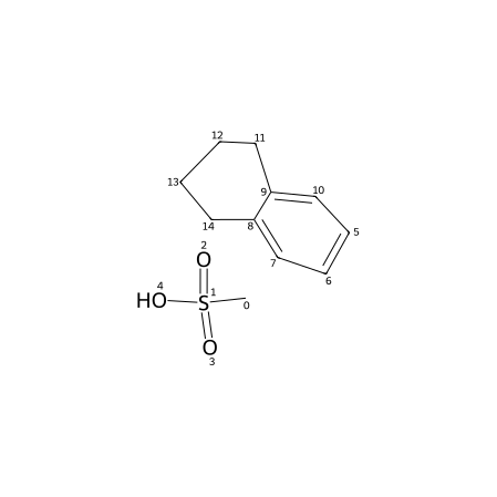 CS(=O)(=O)O.c1ccc2c(c1)CCCC2